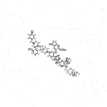 COc1nc2c(cc1Oc1cc(N3CCC4(CC3)CC(N3CCN(Cc5ccc(Cl)cc5)C[C@H]3c3ccccc3C(C)C)C4)ccc1C(=O)NS(=O)(=O)c1cnc(OC[C@H]3CC[C@](C)(O)CC3)c([NH+](C)[O-])c1)C(F)=CC2